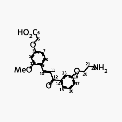 COc1cc(OCC(=O)O)ccc1/C=C/C(=O)c1cccc(OCCN)c1